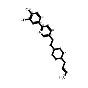 C/C=C/CC1CCC(CCc2ccc(-c3ccc(Cl)c(F)c3)nc2)CC1